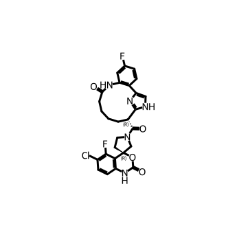 O=C1CCCC[C@@H](C(=O)N2CC[C@@]3(C2)OC(=O)Nc2ccc(Cl)c(F)c23)c2nc(c[nH]2)-c2ccc(F)cc2N1